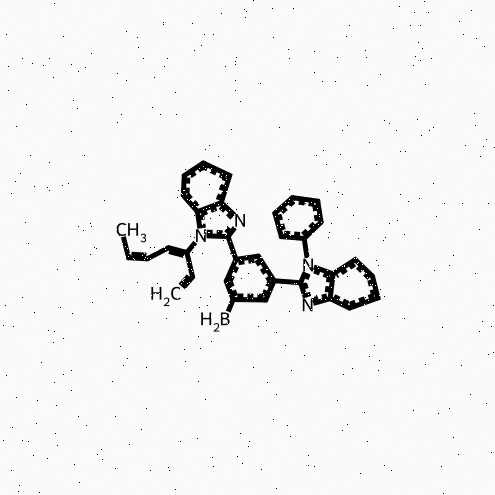 Bc1cc(-c2nc3ccccc3n2/C(C=C)=C/C=C\C)cc(-c2nc3ccccc3n2-c2ccccc2)c1